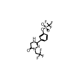 O=C1CNC(c2cccc(OS(=O)(=O)C(F)(F)F)c2)=NN1CC(F)(F)F